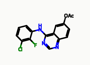 CC(=O)Oc1ccc2ncnc(Nc3cccc(Cl)c3F)c2c1